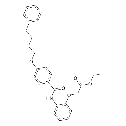 CCOC(=O)COc1ccccc1NC(=O)c1ccc(OCCCCc2ccccc2)cc1